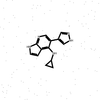 c1cc2c(NC3CC3)c(-c3cn[nH]c3)cnc2[nH]1